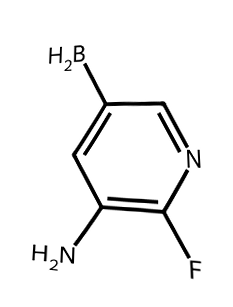 Bc1cnc(F)c(N)c1